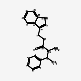 CC(c1ccccc1)N(N)C(=O)CCc1c[nH]c2ccccc12